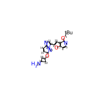 CC(C)(C)COc1nccc2oc(-c3cnc4ccc(O[C@H]5C[C@H](N)C5)nn34)cc12